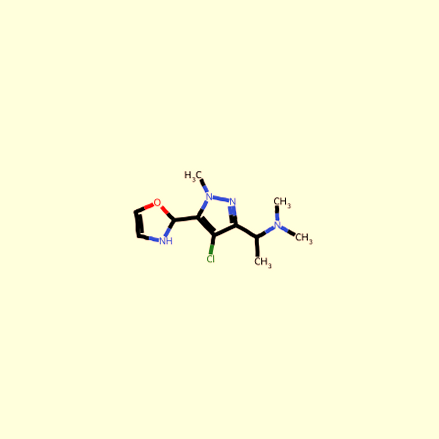 CC(c1nn(C)c(C2NC=CO2)c1Cl)N(C)C